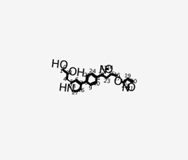 OCC(O)C[C@H]1C=C(c2ccc(C3=NOC(COc4ccon4)C3)cc2)CCN1